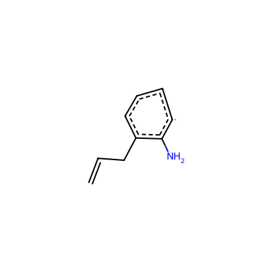 C=CCc1ccc[c]c1N